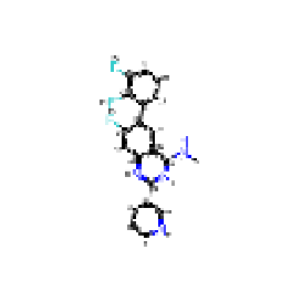 CNc1nc(-c2cccnc2)nc2cc(F)c(-c3cccc(F)c3F)cc12